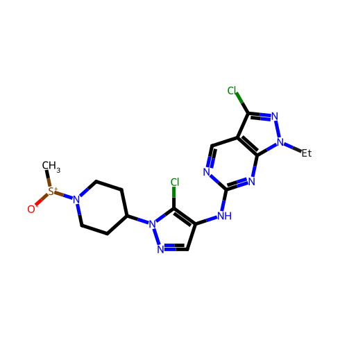 CCn1nc(Cl)c2cnc(Nc3cnn(C4CCN([S+](C)[O-])CC4)c3Cl)nc21